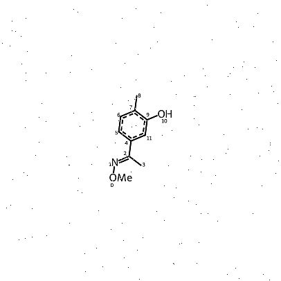 CO/N=C(\C)c1ccc(C)c(O)c1